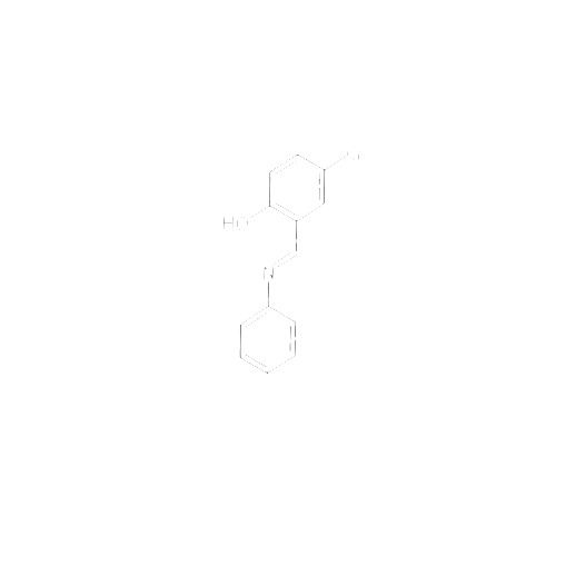 Oc1ccc(Cl)cc1C=Nc1c[c]ccc1